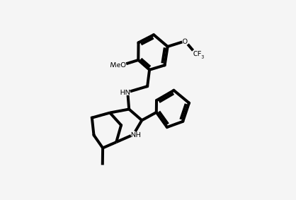 COc1ccc(OC(F)(F)F)cc1CNC1C2CCC(C)C(C2)NC1c1ccccc1